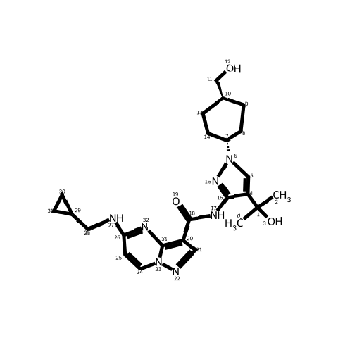 CC(C)(O)c1cn([C@H]2CC[C@H](CO)CC2)nc1NC(=O)c1cnn2ccc(NCC3CC3)nc12